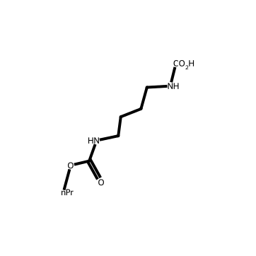 CCCOC(=O)NCCCCNC(=O)O